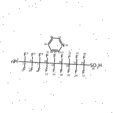 CCCC(F)(F)C(F)(F)C(F)(F)C(F)(F)C(F)(F)C(F)(F)C(F)(F)C(F)(F)C(F)(F)S(=O)(=O)O.c1ccncc1